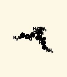 CC1(C)[C@@H]2C[C@H]3OB(c4cccc5[nH]c(C(=O)N6CCC(c7cccc(CN)c7)CC6)cc45)O[C@@]3(CCOc3ccc(C(=O)N4CCC(c5cccc(CN)c5)CC4)cc3)[C@H]1C2